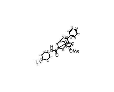 COC(=O)C12CC3CC(C(=O)N[C@H]4CC[C@H](N)CC4)(C1)CC(c1ccccc1)(C3)C2